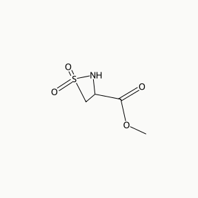 COC(=O)C1CS(=O)(=O)N1